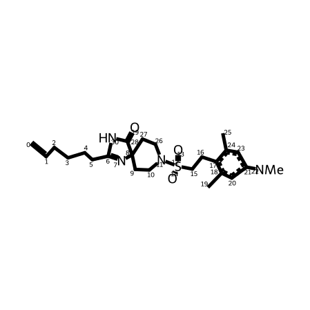 C=CCCCCC1=NC2(CCN(S(=O)(=O)CCc3c(C)cc(NC)cc3C)CC2)C(=O)N1